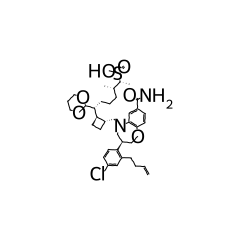 C=CCCc1cc(Cl)ccc1[C@@H]1COc2ccc(C(N)=O)cc2N(C[C@@H]2CC[C@H]2[C@@H](CCC[C@H](C)[C@@H](C)S(=O)O)C2OCCCO2)C1